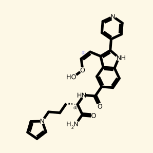 NC(=O)[C@H](CCCn1cccc1)NC(=O)c1ccc2[nH]c(-c3ccncc3)c(/C=C\OO)c2c1